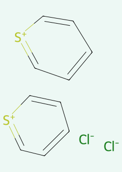 [Cl-].[Cl-].c1cc[s+]cc1.c1cc[s+]cc1